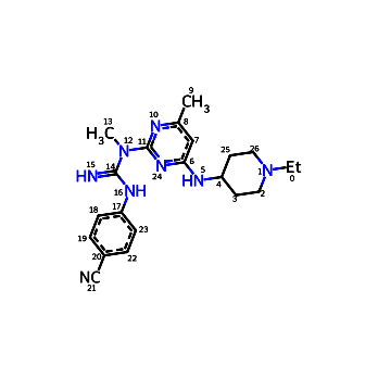 CCN1CCC(Nc2cc(C)nc(N(C)C(=N)Nc3ccc(C#N)cc3)n2)CC1